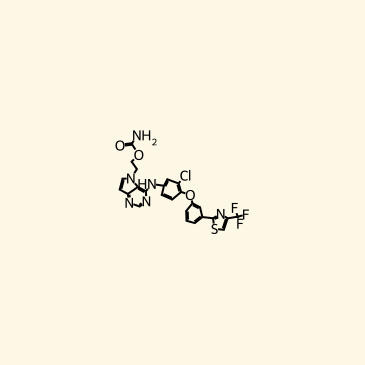 NC(=O)OCCn1ccc2ncnc(Nc3ccc(Oc4cccc(-c5nc(C(F)(F)F)cs5)c4)c(Cl)c3)c21